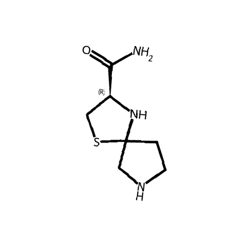 NC(=O)[C@@H]1CSC2(CCNC2)N1